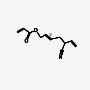 C=CC(=O)OC/C=C/CC(C#N)C=C